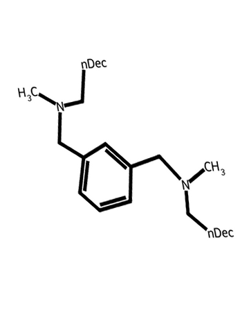 CCCCCCCCCCCN(C)Cc1cccc(CN(C)CCCCCCCCCCC)c1